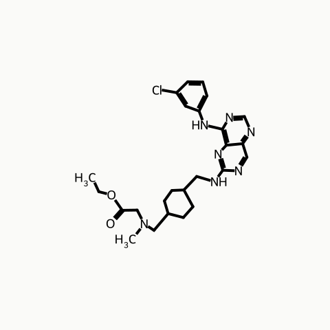 CCOC(=O)CN(C)CC1CCC(CNc2ncc3ncnc(Nc4cccc(Cl)c4)c3n2)CC1